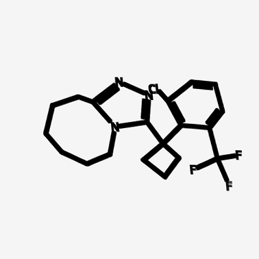 FC(F)(F)c1cccc(Cl)c1C1(c2nnc3n2CCCCCC3)CCC1